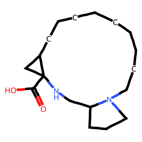 O=C(O)C12CC1CCCCCCCCCN1CCCC1CN2